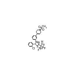 CS(=O)(=O)N1CC=C(c2cccc(N3N=C(C(O)(C(F)(F)F)C(F)(F)F)CC3c3ccccc3Cl)c2)CC1